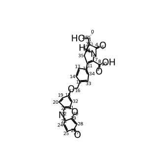 C[C@@H](O)[C@H]1C(=O)N2C(C(=O)O)=C(c3ccc(COc4ccc5nc6ccc(=O)cc-6oc5c4)cc3)C[C@H]12